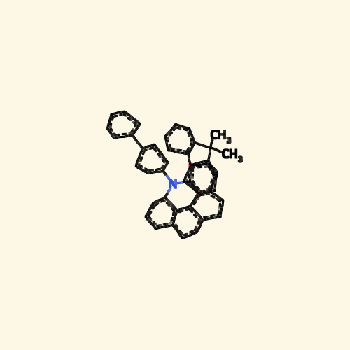 CC1(C)c2ccccc2-c2c(N(c3ccc(-c4ccccc4)cc3)c3cccc4ccc5ccc6ccccc6c5c34)cccc21